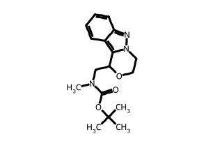 CN(CC1OCCn2nc3ccccc3c21)C(=O)OC(C)(C)C